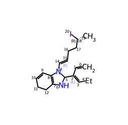 C=C/C(=C\CC)C1NC2=C(C=CCC2)N1/C=C/CC[C@@H](C)I